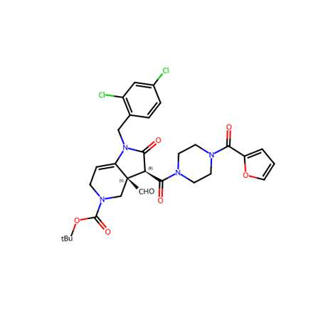 CC(C)(C)OC(=O)N1CC=C2N(Cc3ccc(Cl)cc3Cl)C(=O)[C@@H](C(=O)N3CCN(C(=O)c4ccco4)CC3)[C@]2(C=O)C1